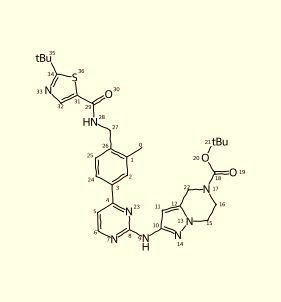 Cc1cc(-c2ccnc(Nc3cc4n(n3)CCN(C(=O)OC(C)(C)C)C4)n2)ccc1CNC(=O)c1cnc(C(C)(C)C)s1